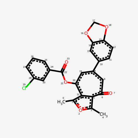 Cc1oc(C)c2c(=O)cc(-c3ccc4c(c3)OCO4)cc(OC(=O)c3cccc(Cl)c3)c12